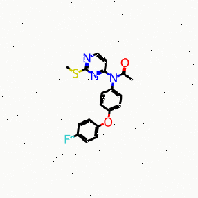 CSc1nccc(N(C(C)=O)c2ccc(Oc3ccc(F)cc3)cc2)n1